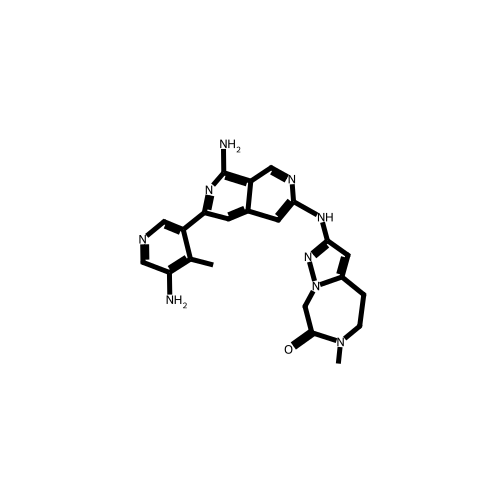 Cc1c(N)cncc1-c1cc2cc(Nc3cc4n(n3)CC(=O)N(C)CC4)ncc2c(N)n1